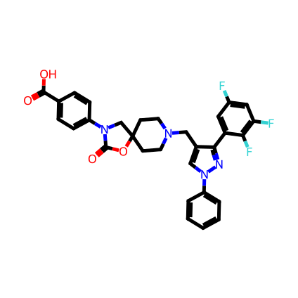 O=C(O)c1ccc(N2CC3(CCN(Cc4cn(-c5ccccc5)nc4-c4cc(F)cc(F)c4F)CC3)OC2=O)cc1